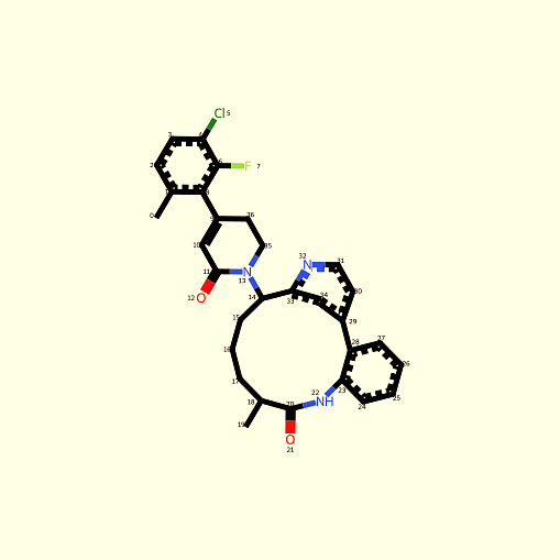 Cc1ccc(Cl)c(F)c1C1=CC(=O)N(C2CCCC(C)C(=O)Nc3ccccc3-c3ccnc2c3)CC1